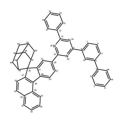 c1ccc(-c2cccc(-c3nc(-c4ccccc4)nc(-c4ccc5c(c4)C4(c6ccc7ccccc7c6-5)C5CC6CC(C5)CC4C6)n3)c2)cc1